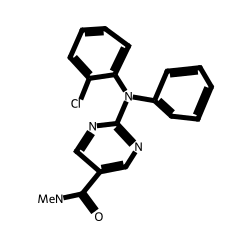 CNC(=O)c1cnc(N(c2ccccc2)c2ccccc2Cl)nc1